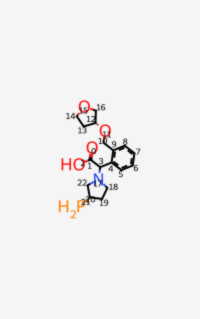 O=C(O)C(c1ccccc1CO[C@@H]1CCOC1)N1CC[C@@H](P)C1